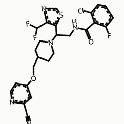 N#Cc1cc(OCC2CCN(C(CNC(=O)c3c(F)cccc3Cl)c3scnc3C(F)F)CC2)ccn1